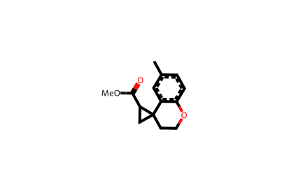 COC(=O)C1CC12CCOc1ccc(C)cc12